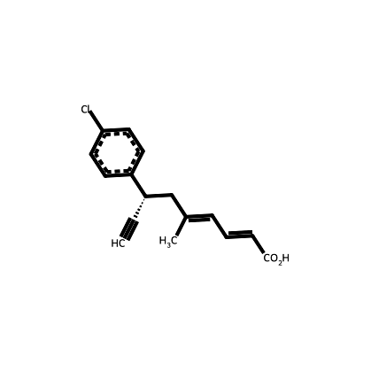 C#C[C@@H](C/C(C)=C/C=C/C(=O)O)c1ccc(Cl)cc1